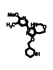 COc1ncc(-n2nc(OCC3CCCNC3)c3c2NCOCC3)cc1C